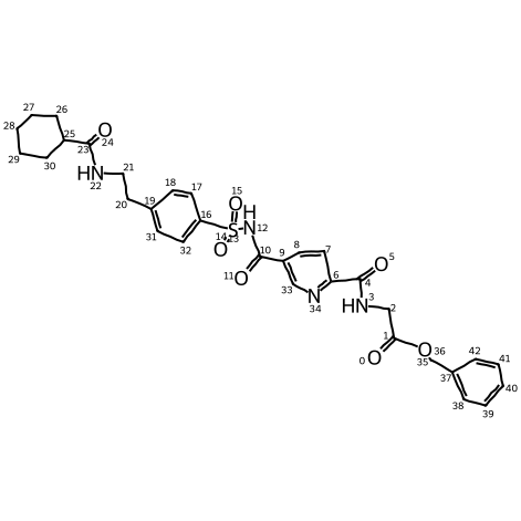 O=C(CNC(=O)c1ccc(C(=O)NS(=O)(=O)c2ccc(CCNC(=O)C3CCCCC3)cc2)cn1)OCc1ccccc1